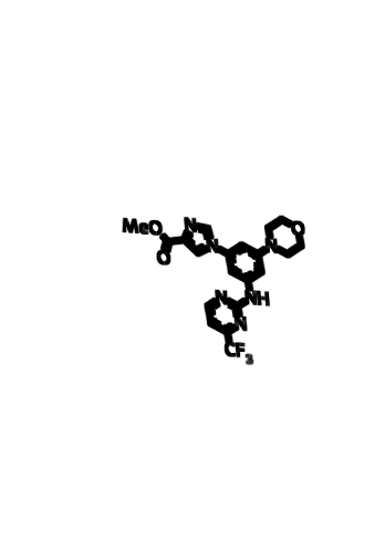 COC(=O)c1cn(-c2cc(Nc3nccc(C(F)(F)F)n3)cc(N3CCOCC3)c2)cn1